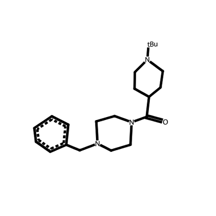 CC(C)(C)N1CCC(C(=O)N2CCN(Cc3ccccc3)CC2)CC1